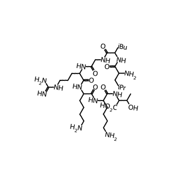 CCC(C)C(NC(=O)C(N)CC(C)C)C(=O)NCC(=O)NC(CCCNC(=N)N)C(=O)NC(CCCCN)C(=O)NC(CCCCN)C(=O)NC(C(=O)O)C(C)O